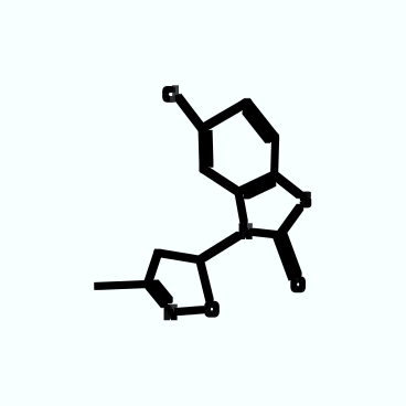 CC1=NOC(n2c(=O)sc3ccc(Cl)cc32)C1